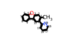 Cc1cc2oc3ccccc3c2cc1-c1ccccn1